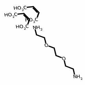 NCCOCCOCCN.O=C(O)/C=C\C(=O)O.O=C(O)/C=C\C(=O)O